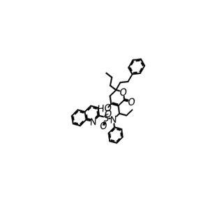 CCCC1(CCc2ccccc2)CC(O)=C(C(CC)N(c2ccccc2)S(=O)(=O)c2ccc3ccccc3n2)C(=O)O1